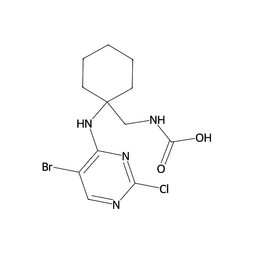 O=C(O)NCC1(Nc2nc(Cl)ncc2Br)CCCCC1